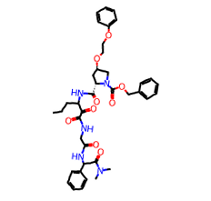 CCCC(NC(=O)[C@@H]1C[C@@H](OCCOc2ccccc2)CN1C(=O)OCc1ccccc1)C(=O)C(=O)NCC(=O)NC(C(=O)N(C)C)c1ccccc1